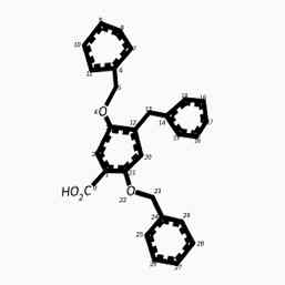 O=C(O)c1cc(OCc2ccccc2)c(Cc2ccccc2)cc1OCc1ccccc1